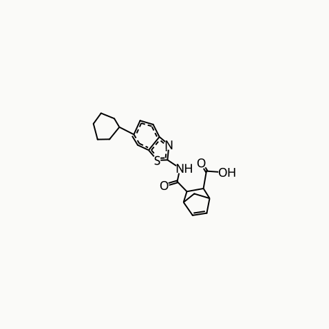 O=C(O)C1C2C=CC(C2)C1C(=O)Nc1nc2ccc(C3CCCCC3)cc2s1